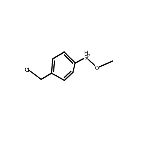 CO[SiH2]c1ccc(CCl)cc1